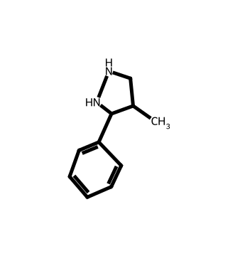 CC1CNNC1c1ccccc1